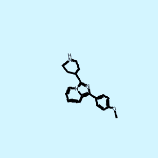 COc1ccc(-c2nc(C3CCNCC3)n3ccccc23)cc1